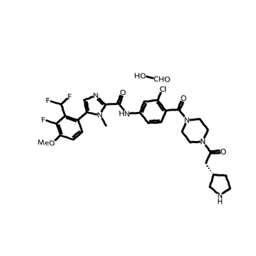 COc1ccc(-c2cnc(C(=O)Nc3ccc(C(=O)N4CCN(C(=O)C[C@@H]5CCNC5)CC4)c(Cl)c3)n2C)c(C(F)F)c1F.O=CO